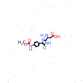 COC(=O)Nc1ccc(-c2nc(C(N)CC(=O)O)[nH]c2Cl)cc1